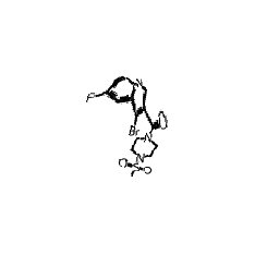 CS(=O)(=O)N1CCN(C(=O)c2cnc3ccc(F)cc3c2Br)CC1